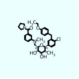 CCOc1ccc(Cc2cc([C@@H]3O[C@H](CN(C)c4cccc(C(=O)N5CCCC5)c4)[C@@H](O)[C@H](O)[C@H]3C)ccc2Cl)cc1